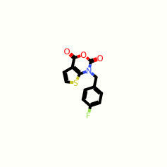 O=c1oc(=O)n(Cc2ccc(F)cc2)c2sccc12